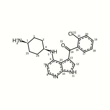 N[C@H]1CC[C@@H](Nc2ncnc3[nH]cc(C(=O)c4ccccc4Cl)c23)CC1